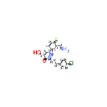 NCc1cc(-c2cc(CO)c(=O)n(C/C=C/c3ccc(Cl)cc3)n2)ccc1F